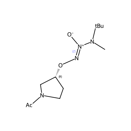 CC(=O)N1CC[C@@H](O/N=[N+](\[O-])N(C)C(C)(C)C)C1